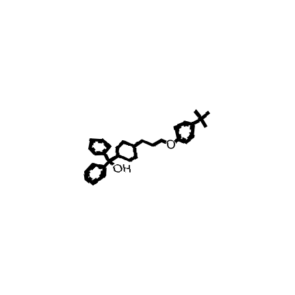 CC(C)(C)c1ccc(OCCCC2CCC(C(O)(c3ccccc3)c3ccccc3)CC2)cc1